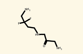 NCC(=O)CNCCC(F)(F)CN